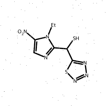 CCn1c([N+](=O)[O-])cnc1C(S)c1nnns1